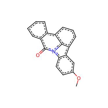 COc1ccc2c(c1)c1cccc3c4ccccc4c(=O)n2c31